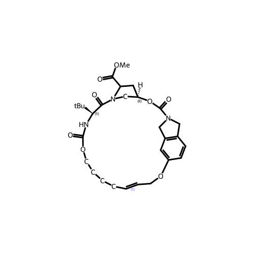 COC(=O)C1C[C@@H]2CN1C(=O)[C@H](C(C)(C)C)NC(=O)OCCCC/C=C/COc1ccc3c(c1)CN(C3)C(=O)O2